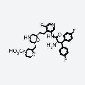 N[C@H](C(=O)Nc1cncc(F)c1CC[C@@H]1CNC[C@H](CC2CN(C(=O)O)CCO2)O1)C(c1ccc(F)cc1)c1ccc(F)cc1